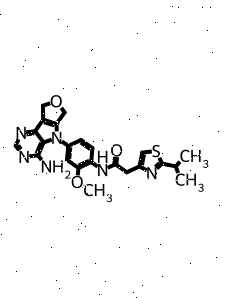 COc1cc(-n2c3c(c4ncnc(N)c42)COC3)ccc1NC(=O)Cc1csc(C(C)C)n1